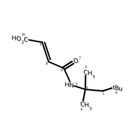 CC(C)(C)CC(C)(C)NC(=O)C=CC(=O)O